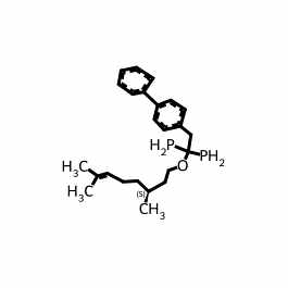 CC(C)=CCC[C@H](C)CCOC(P)(P)Cc1ccc(-c2ccccc2)cc1